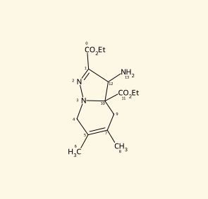 CCOC(=O)C1=NN2CC(C)=C(C)CC2(C(=O)OCC)C1N